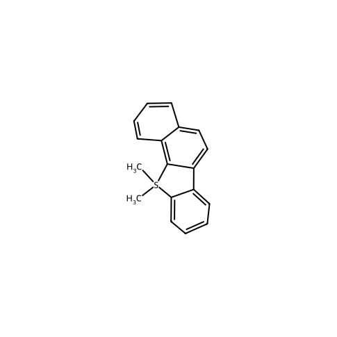 CS1(C)c2ccccc2-c2ccc3ccccc3c21